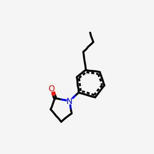 CCCc1cccc(N2CCCC2=O)c1